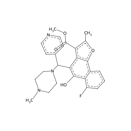 COC(=O)c1c(C)oc2c1c(C(c1ccncc1)N1CCN(C)CC1)c(O)c1c(F)cccc12